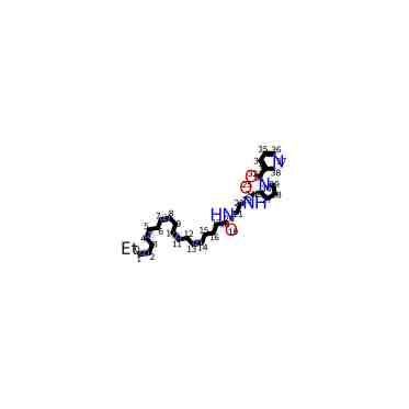 CC/C=C\C/C=C\C/C=C\C/C=C\C/C=C\CCCC(=O)NCCNC(=O)[C@@H]1CCCN1C(=O)c1cccnc1